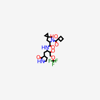 O=C1NCCC1CC(NC(=O)C1CC2(CC2)CN1C(=O)C1(O)CCC1)C(=O)COC(F)(F)F